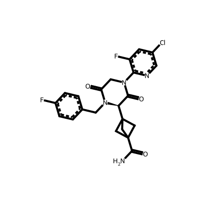 NC(=O)C12CC([C@@H]3C(=O)N(c4ncc(Cl)cc4F)CC(=O)N3Cc3ccc(F)cc3)(C1)C2